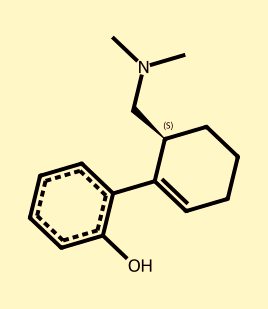 CN(C)C[C@H]1CCCC=C1c1ccccc1O